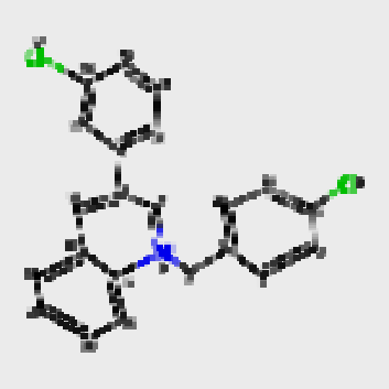 Clc1ccc(C[n+]2cc(-c3cccc(Cl)c3)cc3ccccc32)cc1